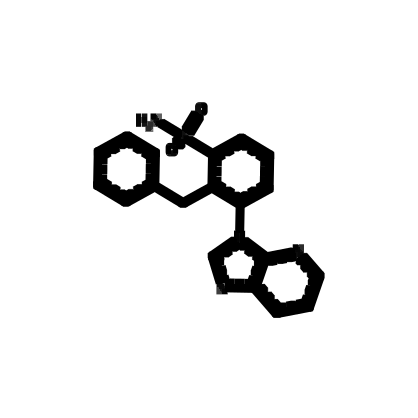 NS(=O)(=O)c1cccc(-n2cnc3cccnc32)c1Cc1ccccc1